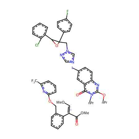 CCCOc1nc2ccc(I)cc2c(=O)n1CCC.CO/C=C(/C(=O)OC)c1ccccc1COc1cccc(C(F)(F)F)n1.Fc1ccc(C2(Cn3cncn3)OC2c2ccccc2Cl)cc1